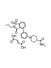 CCCN1C(=O)c2c(-c3cccc(N4CCC(C(N)=O)CC4)c3)cccc2S1(=O)=O.O=C(O)/C=C/C(=O)O